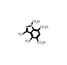 CCOC(=O)c1cc(C(=O)OCC)c2c(c(N)nn2C(=O)OCC)c1N